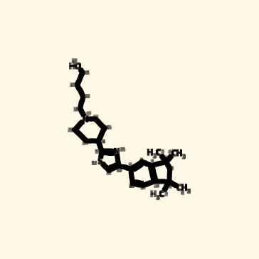 CC1(C)CC(C)(C)c2cc(-c3csc(C4CCN(CCCCO)CC4)n3)ccc21